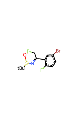 CC(C)(C)[S+]([O-])N=C(CF)c1cc(Br)ccc1F